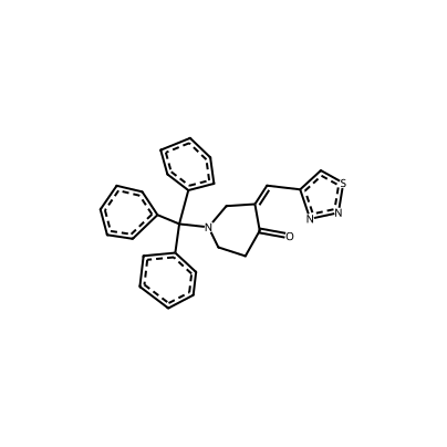 O=C1CCN(C(c2ccccc2)(c2ccccc2)c2ccccc2)CC1=Cc1csnn1